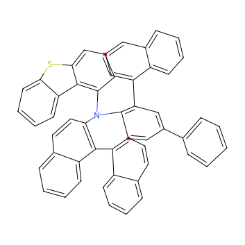 c1ccc(-c2ccc(N(c3ccc4ccccc4c3-c3cccc4ccccc34)c3cccc4sc5ccccc5c34)c(-c3cccc4ccccc34)c2)cc1